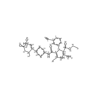 C#Cc1cccc(C2C(C(=O)Nc3ccc(C4=N[NH+]([O-])C(=O)CC4C)cc3)=C(C)NC(N)=C2C(=O)OCC)c1